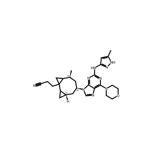 Cc1cc(Nc2nc(N3CCOCC3)c3ncn([C@H]4C[C@@H]5CC5C5(CCC#N)CC5[C@@H](C)C4)c3n2)n[nH]1